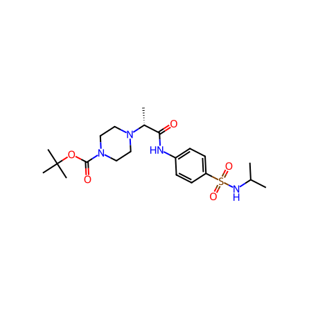 CC(C)NS(=O)(=O)c1ccc(NC(=O)[C@@H](C)N2CCN(C(=O)OC(C)(C)C)CC2)cc1